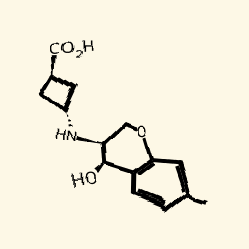 Cc1ccc2c(c1)OC[C@H](N[C@H]1C[C@H](C(=O)O)C1)[C@@H]2O